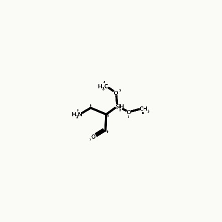 CO[SiH](OC)C(C=O)CN